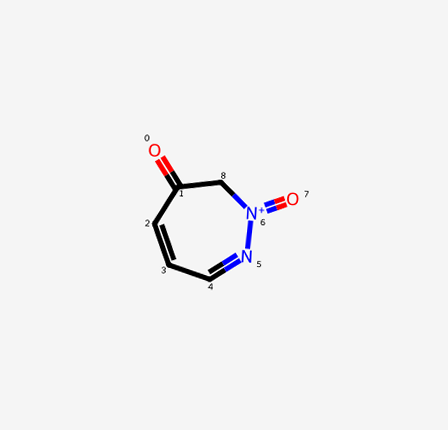 O=C1C=CC=N[N+](=O)C1